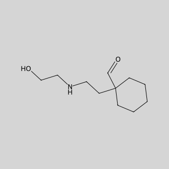 O=CC1(CCNCCO)CCCCC1